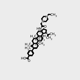 C=C(C)[C@@H]1CC[C@]2(NC(=O)CN3CCN(CC)CC3)CC[C@]3(C)[C@H](CCC4[C@@]5(C)CC=C(c6ccc(C(=O)O)cc6)C(C)(C)C5CC[C@]43C)C12